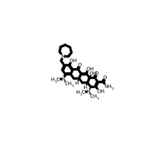 CN(C)c1cc(CN2CCCCCC2)c(O)c2c1C[C@H]1C[C@H]3[C@H](N(C)C)C(O)=C(C(N)=O)C(=O)[C@@]3(O)C(O)=C1C2=O